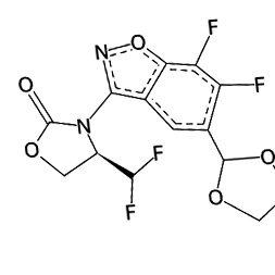 O=C1OC[C@H](C(F)F)N1c1noc2c(F)c(F)c(C3OCCO3)cc12